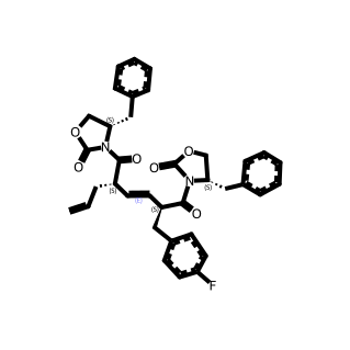 C=CC[C@@H](/C=C/[C@H](Cc1ccc(F)cc1)C(=O)N1C(=O)OC[C@@H]1Cc1ccccc1)C(=O)N1C(=O)OC[C@@H]1Cc1ccccc1